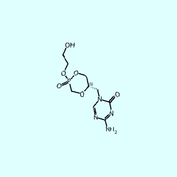 Nc1ncn(C[C@H]2COP(=O)(OCCO)CO2)c(=O)n1